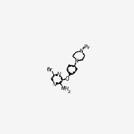 CC(C)N1CCN(c2ccc(Oc3nc(Br)cnc3N)cc2)CC1